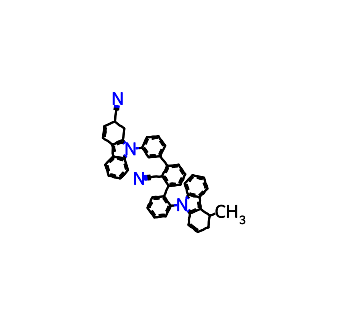 CC1CC=Cc2c1c1ccccc1n2-c1ccccc1-c1cccc(-c2cccc(-n3c4c(c5ccccc53)C=CC(C#N)C4)c2)c1C#N